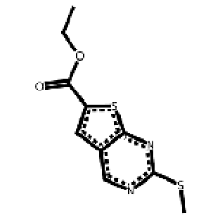 CCOC(=O)c1cc2cnc(SC)nc2s1